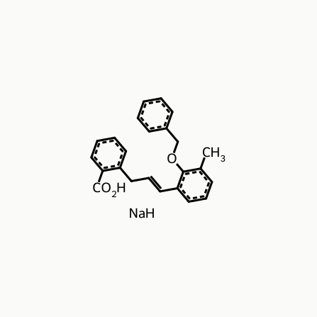 Cc1cccc(C=CCc2ccccc2C(=O)O)c1OCc1ccccc1.[NaH]